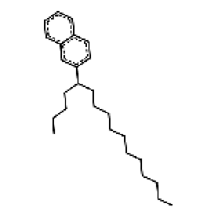 CCCCCCCCCCCC(CCCC)c1ccc2ccccc2c1